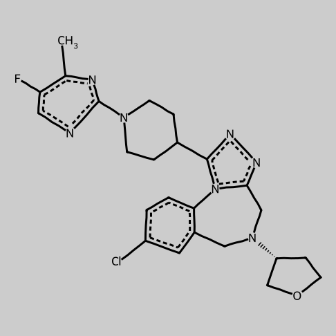 Cc1nc(N2CCC(c3nnc4n3-c3ccc(Cl)cc3CN([C@@H]3CCOC3)C4)CC2)ncc1F